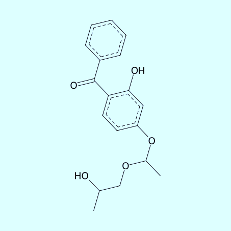 CC(O)COC(C)Oc1ccc(C(=O)c2ccccc2)c(O)c1